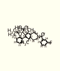 Cc1c2c(c(C)c(C(OC(C)(C)C)C(=O)O)c1-c1ccccc1)CCN(C(=O)c1cccc(F)c1)CC2